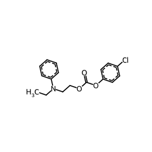 CCN(CCOC(=O)Oc1ccc(Cl)cc1)c1ccccc1